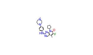 Cc1c(F)c(=O)n(C2CCCC2)c2nc(Nc3ccc(N4CCCN(C)CC4)cc3)ncc12